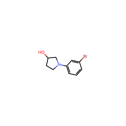 OC1CCN(c2cccc(Br)c2)C1